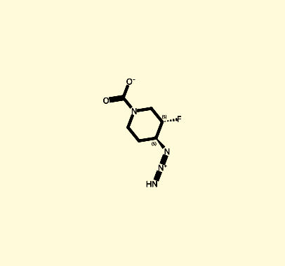 N=[N+]=N[C@H]1CCN(C(=O)[O-])C[C@@H]1F